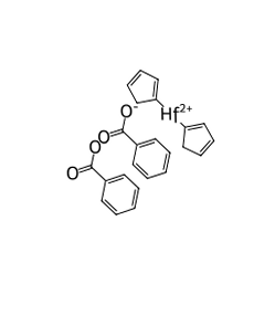 C1=CC[C]([Hf+2][C]2=CC=CC2)=C1.O=C([O-])c1ccccc1.O=C([O-])c1ccccc1